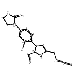 [N-]=[N+]=NCC1CN(c2ccc(N3CCOC3=O)cc2F)C(C=O)O1